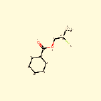 O=C(OC[C@H](F)S(=O)(=O)O)C1CCCCC1